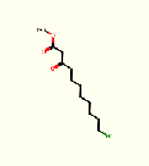 CC(C)(C)OC(=O)CC(=O)CCCCCCCCBr